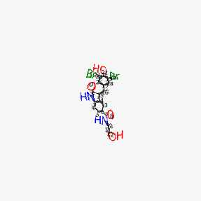 O=C1Nc2ccc(C(=O)NCCO)cc2/C1=C/c1cc(Br)c(O)c(Br)c1